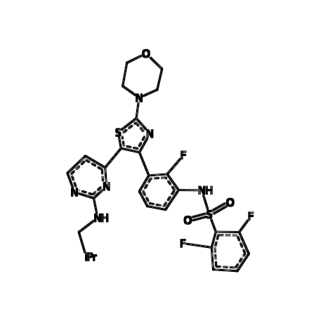 CC(C)CNc1nccc(-c2sc(N3CCOCC3)nc2-c2cccc(NS(=O)(=O)c3c(F)cccc3F)c2F)n1